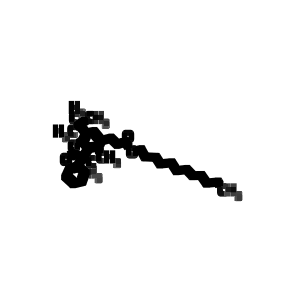 CCCCCCCCCCCCOC(=O)CCc1cc(C(C)(C)C)c2c(c1C)C(C)(c1ccccc1)C(=O)O2